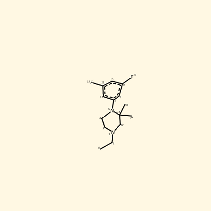 CCN1CCN(c2cc(F)cc(F)c2)C(C)(C)C1